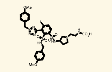 COc1ccc(CNS(=O)(=O)c2c(S(=O)(=O)NC3CCN(CCNC(=O)O)C3)ccc(I)c2-c2nnn(Cc3ccc(OC)cc3)n2)cc1